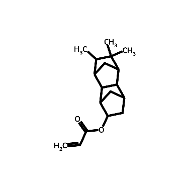 C=CC(=O)OC1CC2CC1C1C3CC(C21)C(C)(C)C3C